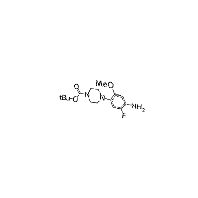 COc1cc(N)c(F)cc1N1CCN(C(=O)OC(C)(C)C)CC1